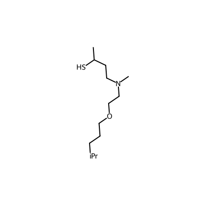 CC(C)CCCOCCN(C)CCC(C)S